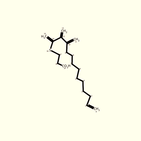 C=CCCCCCCCCC(=C)C(=C)C(=C)SCCC(=O)O